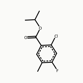 Cc1cc(C(=O)OC(C)C)c(Cl)cc1F